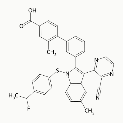 Cc1ccc2c(c1)c(-c1nccnc1C#N)c(-c1cccc(-c3ccc(C(=O)O)cc3C)c1)n2Sc1ccc(C(C)F)cc1